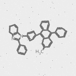 Cc1ccc2c(-c3ccccc3)c3ccccc3c(-c3ccc(-n4c(-c5ccccc5)nc5c4C=CCC5)cc3)c2c1